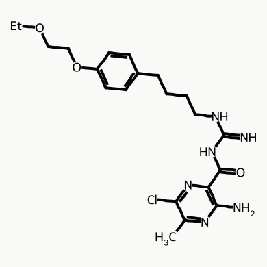 CCOCCOc1ccc(CCCCNC(=N)NC(=O)c2nc(Cl)c(C)nc2N)cc1